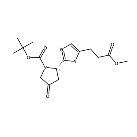 COC(=O)CCc1cnc([C@@H]2CC(=O)CN2C(=O)OC(C)(C)C)s1